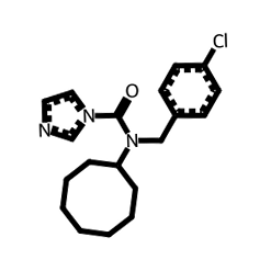 O=C(N(Cc1ccc(Cl)cc1)C1CCCCCCC1)n1ccnc1